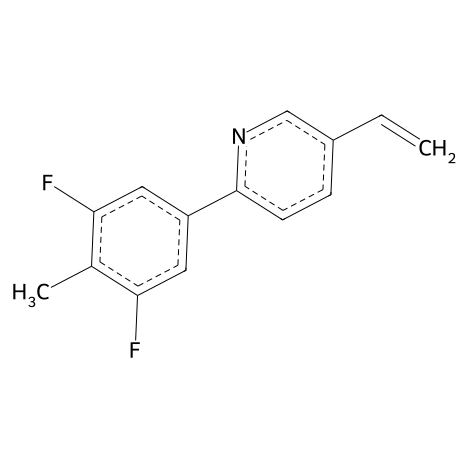 C=Cc1ccc(-c2cc(F)c(C)c(F)c2)nc1